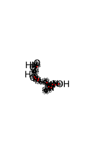 Cc1nn2c(N3CCN(CCO)CC3)cc(-c3cccc(CCCN4CCN(C(=O)CNc5ccc(C6CCC(=O)NC6=O)cc5)CC4)c3)nc2c1-c1ccccc1